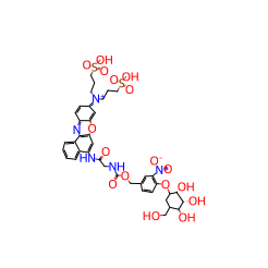 O=C(CNC(=O)OCc1ccc(OC2CC(CO)C(O)[C@@H](O)[C@@H]2O)c([N+](=O)[O-])c1)Nc1cc2oc3cc(=[N+](CCCS(=O)(=O)O)CCCS(=O)(=O)O)ccc-3nc2c2ccccc12